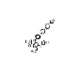 CCc1nc(C(N)=O)c(Nc2ccc(N3CCC(N4CCN(C5COC5)CC4)CC3)cc2)nc1O[C@@H]1CCNC1